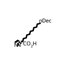 CCCCCCCCCCCCCCCCCCCCC(C(=O)O)n1ccnn1